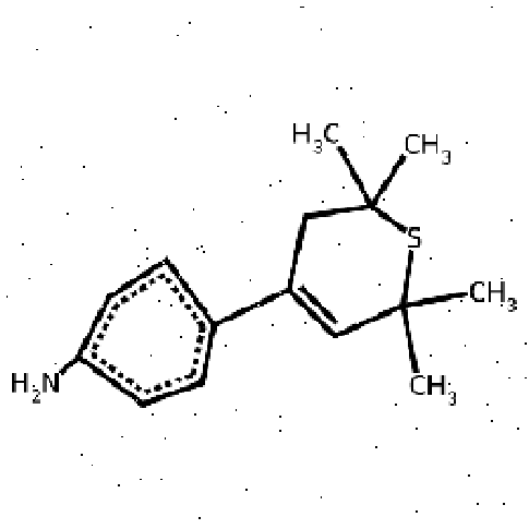 CC1(C)C=C(c2ccc(N)cc2)CC(C)(C)S1